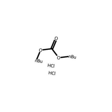 CCCCOC(=O)OCCCC.Cl.Cl